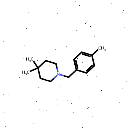 Cc1ccc(CN2CCC(C)(C)CC2)cc1